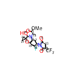 COC(=O)C(C)N1c2cc(N3C(=O)C=C(C(F)(F)F)C3=O)c(F)cc2OC2(CC2)C1O